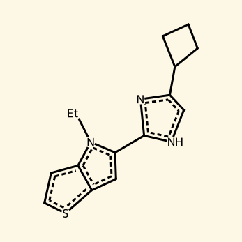 CCn1c(-c2nc(C3CCC3)c[nH]2)cc2sccc21